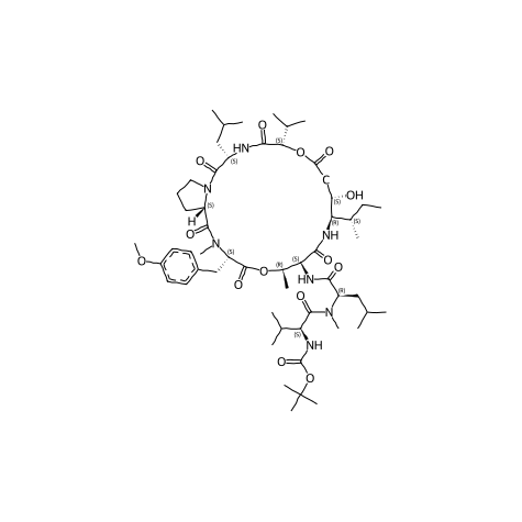 CC[C@H](C)[C@H]1NC(=O)[C@@H](NC(=O)[C@@H](CC(C)C)N(C)C(=O)[C@@H](NC(=O)OC(C)(C)C)C(C)C)[C@@H](C)OC(=O)[C@H](Cc2ccc(OC)cc2)N(C)C(=O)[C@@H]2CCCN2C(=O)[C@H](CC(C)C)NC(=O)[C@H](C(C)C)OC(=O)C[C@@H]1O